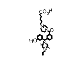 C=CCN1C[C@H](C)N(C(c2cccc(O)c2)c2cccc(C(=O)N3CCCN(CCCCCC(=O)O)CC3)c2)C[C@H]1C